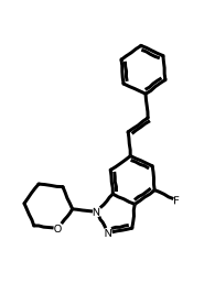 Fc1cc(C=Cc2ccccc2)cc2c1cnn2C1CCCCO1